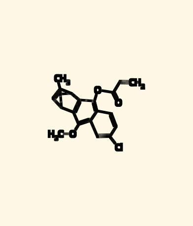 C=CC(=O)Oc1c2c(c(OC)c3cc(Cl)ccc13)C1C=C(C)C2C1